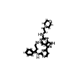 NCCC(Nc1nccc(-c2n[nH]c3nc(NCCN4CCOCC4)ncc23)n1)c1ccccc1